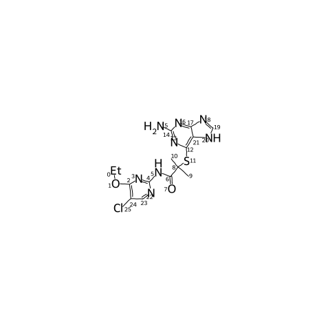 CCOc1nc(NC(=O)C(C)(C)Sc2nc(N)nc3nc[nH]c23)ncc1Cl